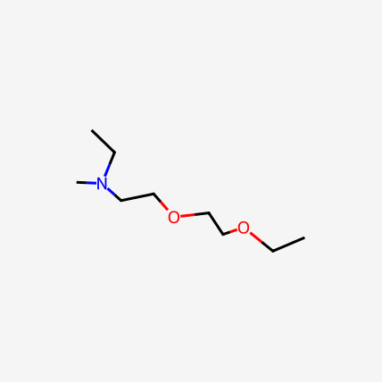 CCOCCOCCN(C)CC